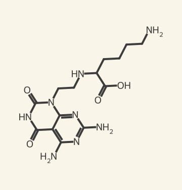 NCCCCC(NCCn1c(=O)[nH]c(=O)c2c(N)nc(N)nc21)C(=O)O